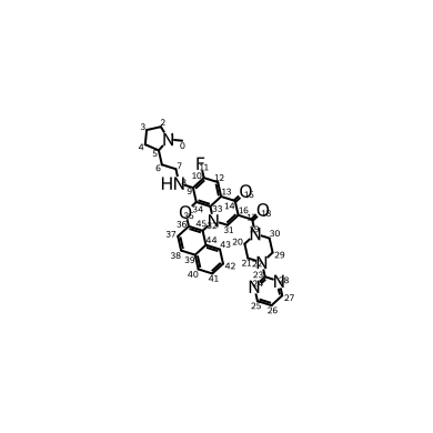 CN1CCCC1CCNc1c(F)cc2c(=O)c(C(=O)N3CCN(c4ncccn4)CC3)cn3c2c1Oc1ccc2ccccc2c1-3